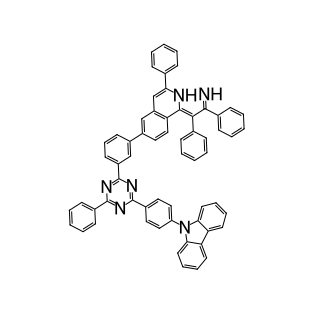 N=C(/C(=C1\NC(c2ccccc2)=Cc2cc(-c3cccc(-c4nc(-c5ccccc5)nc(-c5ccc(-n6c7ccccc7c7ccccc76)cc5)n4)c3)ccc21)c1ccccc1)c1ccccc1